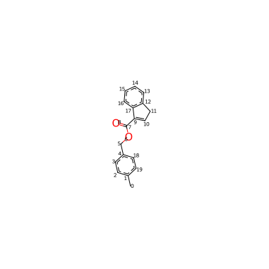 Cc1ccc(COC(=O)C2=CCc3ccccc32)cc1